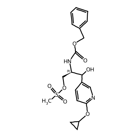 CS(=O)(=O)OC[C@@H](NC(=O)OCc1ccccc1)C(O)c1ccc(OC2CC2)nc1